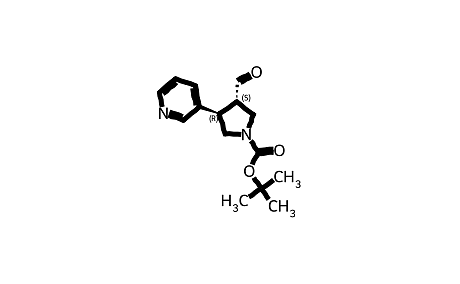 CC(C)(C)OC(=O)N1C[C@@H](C=O)[C@H](c2cccnc2)C1